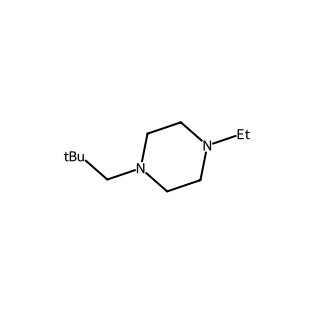 CCN1CCN(CC(C)(C)C)CC1